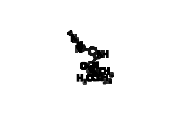 CC(C)N1c2nc(-c3c[nH]c4ccc(-c5cnn(C6CN(C7CC7)C6)c5)cc34)cc(=O)n2CC1(C)C